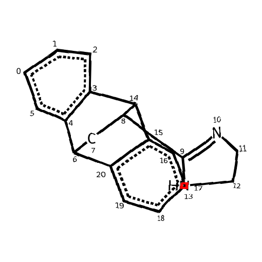 c1ccc2c(c1)C1CC(C3=NCCN3)C2c2ccccc21